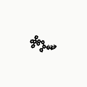 c1ccc(-c2cc(-c3ccc(-c4ccccn4)nc3)cc(-c3cccc(-c4ccc5c6c(cccc46)-c4c-5c(-c5ccccc5)c5ccccc5c4-c4ccccc4)c3)c2)cc1